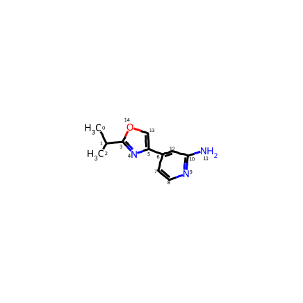 CC(C)c1nc(-c2ccnc(N)c2)co1